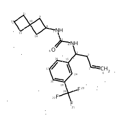 C=CCC(NC(=O)NC1CC2(CCC2)C1)c1cccc(C(F)(F)F)c1